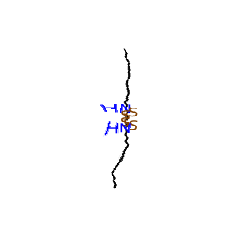 CCCCCCCCCCCCNC(=S)SCSC(=S)NCCCCCCCCCCCC